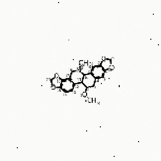 COC1Cc2cc3c(cc2C2C1c1ccc4c(c1CN2C)OCO4)OCO3